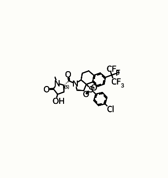 CN1C(=O)C(O)C[C@H]1C(=O)N1CCC2(S(=O)(=O)c3ccc(Cl)cc3)c3ccc(C(F)(C(F)(F)F)C(F)(F)F)cc3CCC12